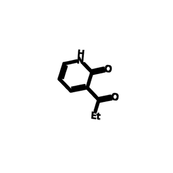 CCC(=O)c1ccc[nH]c1=O